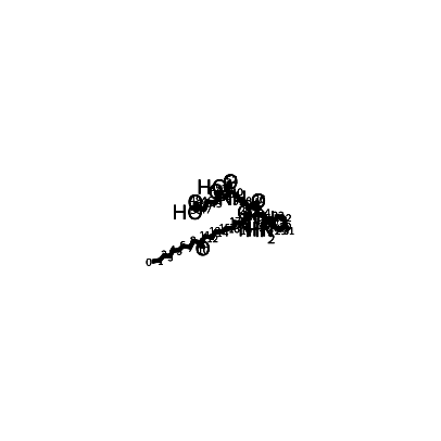 CCCCCCCCCC(=O)CCCCCCC[C@H](N)C(=O)N[C@H](Cc1c[nH]c2cc(C)ccc12)C(=O)CCCC[C@@H](NC(=O)CCCC(=O)O)C(=O)O